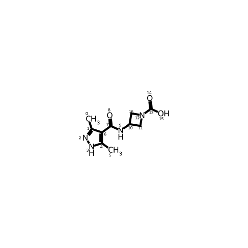 Cc1n[nH]c(C)c1C(=O)NC1CN(C(=O)O)C1